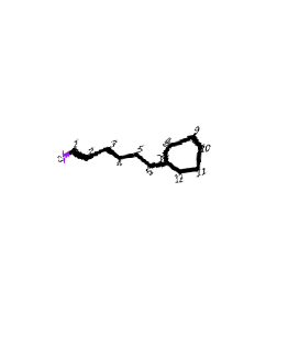 IC=CCCCCC1CCCCC1